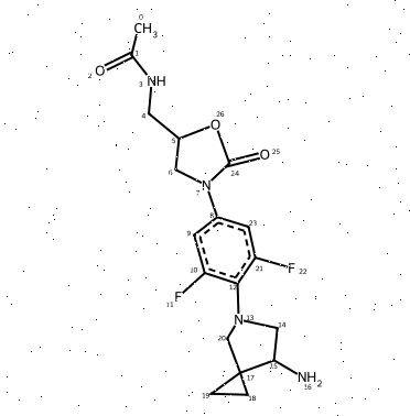 CC(=O)NCC1CN(c2cc(F)c(N3CC(N)C4(CC4)C3)c(F)c2)C(=O)O1